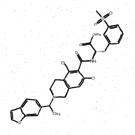 COC(=O)[C@H](Cc1cccc(S(C)(=O)=O)c1)NC(=O)c1c(Cl)cc2c(c1Cl)CCN(C(O)c1ccc3ccoc3c1)C2